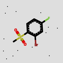 CS(=O)(=O)c1ccc(F)cc1Br